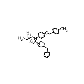 Cc1ccc(COc2ccc(N(CC(C)(C)CN)C(=N)N3CCC(Cc4ccccc4)CC3)cc2)cc1